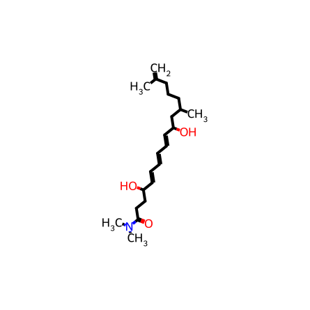 C=C(C)CCCC(C)CC(O)C=CC=CC=CC(O)CCC(=O)N(C)C